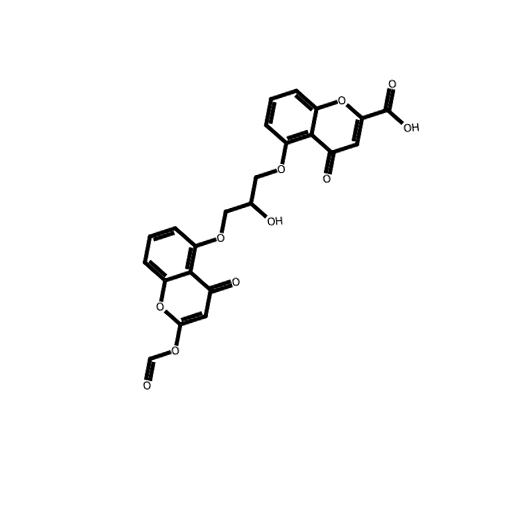 O=COc1cc(=O)c2c(OCC(O)COc3cccc4oc(C(=O)O)cc(=O)c34)cccc2o1